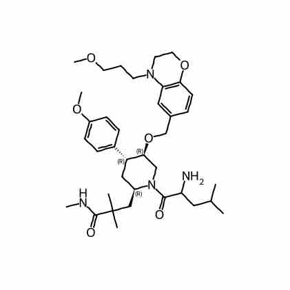 CNC(=O)C(C)(C)C[C@H]1C[C@H](c2ccc(OC)cc2)[C@@H](OCc2ccc3c(c2)N(CCCOC)CCO3)CN1C(=O)C(N)CC(C)C